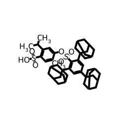 Cc1cc(S(=O)(=O)O)c(C(C)C)cc1OS(=O)(=O)c1c(C23CC4CC(CC(C4)C2)C3)cc(C23CC4CC(CC(C4)C2)C3)cc1C12CC3CC(CC(C3)C1)C2